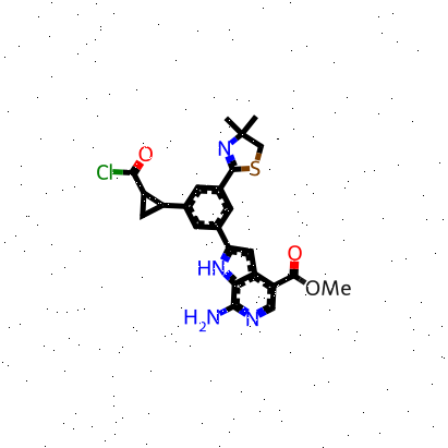 COC(=O)c1cnc(N)c2[nH]c(-c3cc(C4=NC(C)(C)CS4)cc(C4CC4C(=O)Cl)c3)cc12